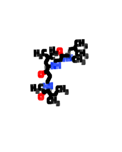 CCC(C)[C@H](NCCC(=O)[C@@H](CC(C)C)NCCC(=O)[C@H](CC(C)C)NC)C(C)=O